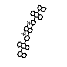 CN1c2cc(-c3c4ccccc4c(-c4cccc5ccccc45)c4ccccc34)ccc2-c2ccc3c4c(ccc1c24)N(C)c1cc(-c2c4ccccc4c(-c4cccc5ccccc45)c4ccccc24)ccc1-3